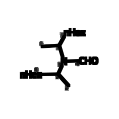 CCCCCCC(C)N(C=O)C(C)CCCCCC